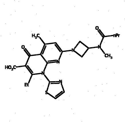 CCCC(=O)N(C)C1CN(c2cc(C)c3c(=O)c(C(=O)O)c(CC)n(-c4nccs4)c3n2)C1